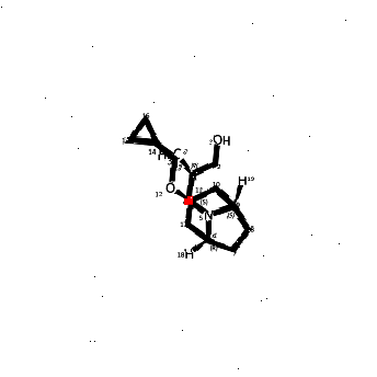 C[C@@H](CO)CN1[C@@H]2CC[C@H]1C[C@H](OCC1CC1)C2